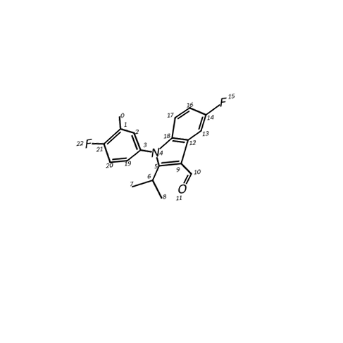 Cc1cc(-n2c(C(C)C)c(C=O)c3cc(F)ccc32)ccc1F